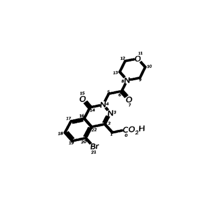 O=C(O)Cc1nn(CC(=O)N2CCOCC2)c(=O)c2cccc(Br)c12